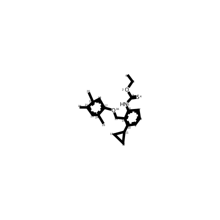 CCOC(=S)Nc1cccc(C2CC2)c1COc1cc(C)c(C)cc1C